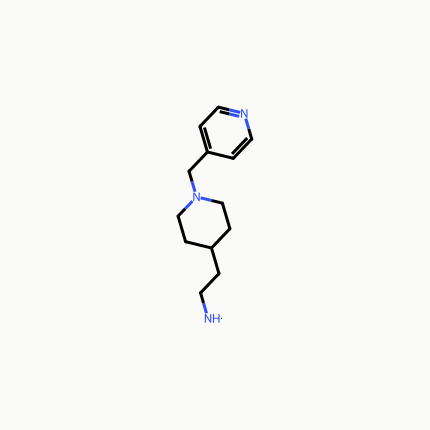 [NH]CCC1CCN(Cc2ccncc2)CC1